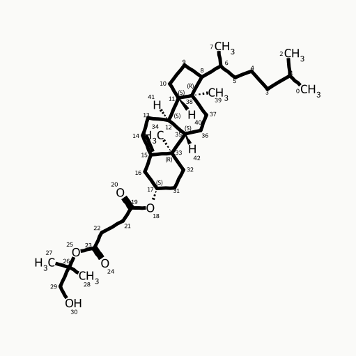 CC(C)CCCC(C)C1CC[C@H]2[C@@H]3CC=C4C[C@@H](OC(=O)CCC(=O)OC(C)(C)CO)CC[C@]4(C)[C@H]3CC[C@]12C